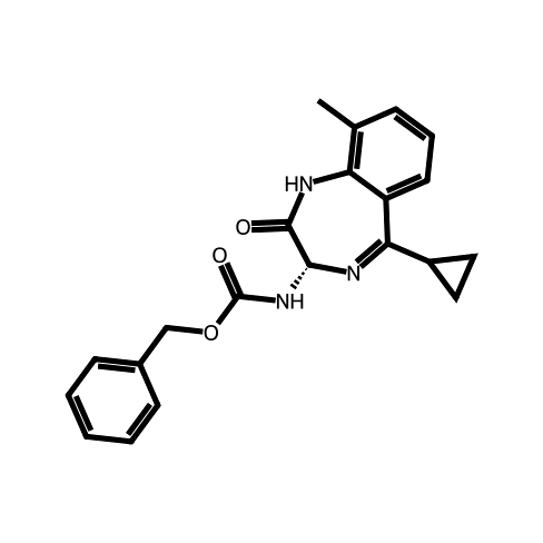 Cc1cccc2c1NC(=O)[C@@H](NC(=O)OCc1ccccc1)N=C2C1CC1